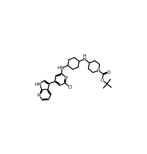 CC(C)(C)OC(=O)N1CCC(NC2CCC(Nc3cc(-c4c[nH]c5ncccc45)cc(Cl)n3)CC2)CC1